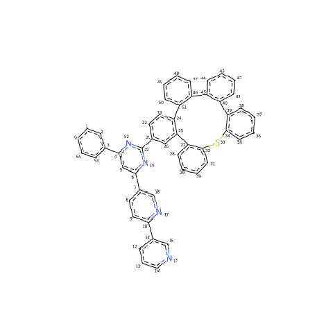 c1ccc(-c2cc(-c3ccc(-c4cccnc4)nc3)nc(-c3ccc4c(c3)-c3ccccc3Sc3ccccc3-c3ccccc3-c3ccccc3-4)n2)cc1